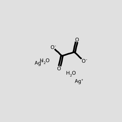 O.O.O=C([O-])C(=O)[O-].[Ag+].[Ag+]